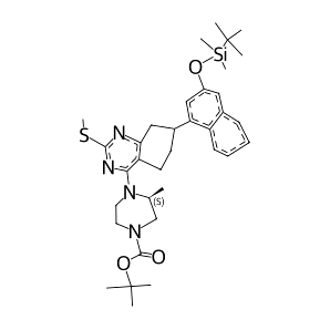 CSc1nc2c(c(N3CCN(C(=O)OC(C)(C)C)C[C@@H]3C)n1)CCC(c1cc(O[Si](C)(C)C(C)(C)C)cc3ccccc13)C2